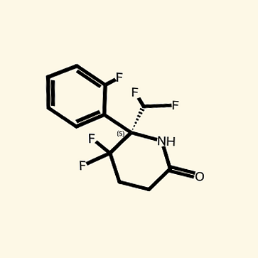 O=C1CCC(F)(F)[C@](c2ccccc2F)(C(F)F)N1